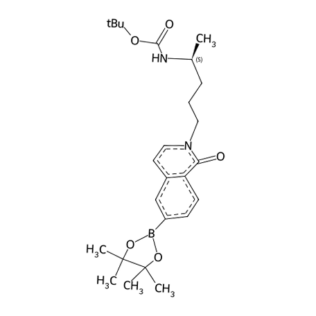 C[C@@H](CCCn1ccc2cc(B3OC(C)(C)C(C)(C)O3)ccc2c1=O)NC(=O)OC(C)(C)C